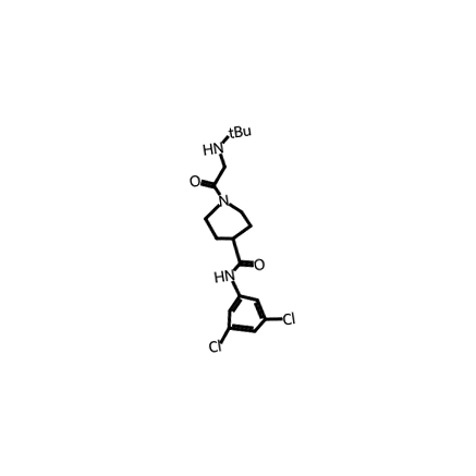 CC(C)(C)NCC(=O)N1CCC(C(=O)Nc2cc(Cl)cc(Cl)c2)CC1